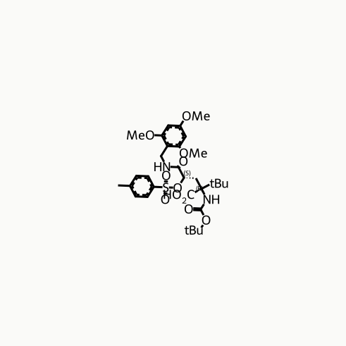 COc1cc(OC)c(CNC(=O)[C@H](C[C@](NC(=O)OC(C)(C)C)(C(=O)O)C(C)(C)C)OS(=O)(=O)c2ccc(C)cc2)c(OC)c1